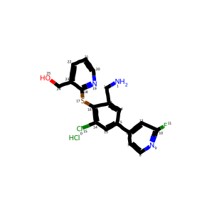 Cl.NCc1cc(-c2ccnc(F)c2)cc(Cl)c1Sc1ncccc1CO